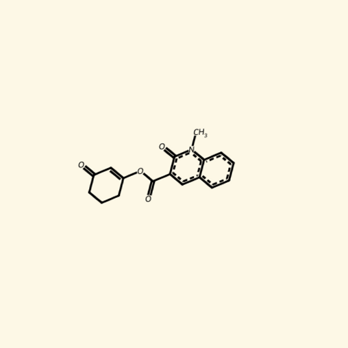 Cn1c(=O)c(C(=O)OC2=CC(=O)CCC2)cc2ccccc21